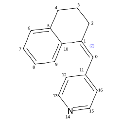 C(=C1\CCCc2ccccc21)/c1ccncc1